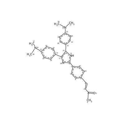 CC(=O)/C=C/c1ccc(-c2nc(-c3ccc(N(C)C)cc3)c(-c3ccc(N(C)C)cc3)[nH]2)cc1